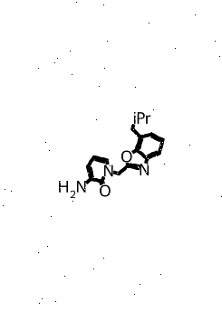 CC(C)Cc1cccc2nc(Cn3cccc(N)c3=O)oc12